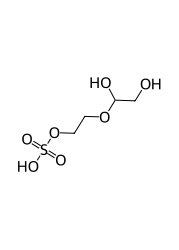 O=S(=O)(O)OCCOC(O)CO